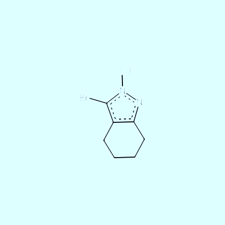 Cn1nc2c(c1Br)CCCC2